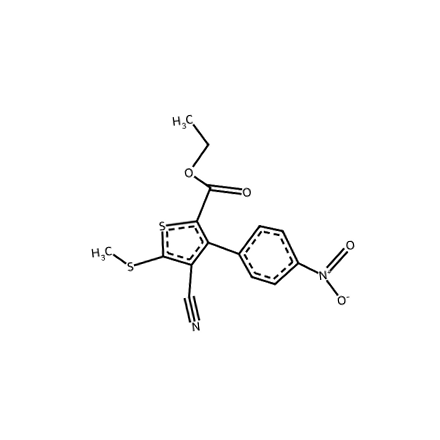 CCOC(=O)c1sc(SC)c(C#N)c1-c1ccc([N+](=O)[O-])cc1